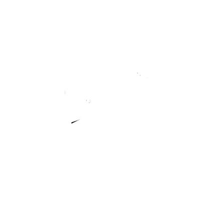 C[C@H](Cc1ccccc1)NC(=O)O.O=[N+]([O-])c1ccccc1